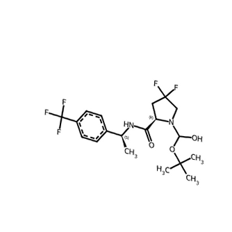 C[C@H](NC(=O)[C@H]1CC(F)(F)CN1C(O)OC(C)(C)C)c1ccc(C(F)(F)F)cc1